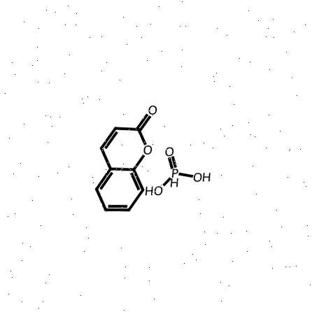 O=[PH](O)O.O=c1ccc2ccccc2o1